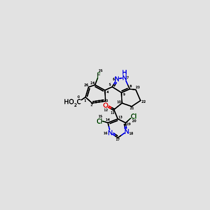 O=C(O)c1ccc(-c2n[nH]c3c2C(C(=O)c2c(Cl)ncnc2Cl)CCC3)c(F)c1